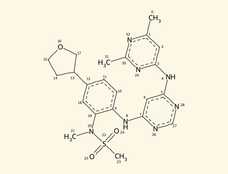 Cc1cc(Nc2cc(Nc3ccc(C4CCOC4)cc3N(C)S(C)(=O)=O)ncn2)nc(C)n1